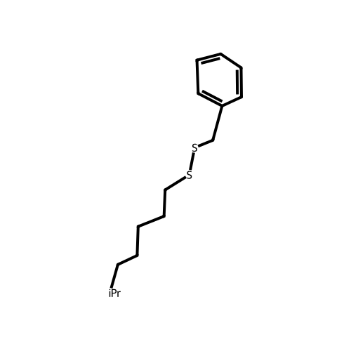 CC(C)CCCCCSSCc1ccccc1